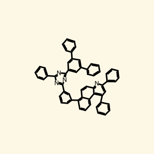 c1ccc(-c2cc(-c3ccccc3)cc(-c3nc(-c4ccccc4)nc(-c4cccc(-c5cccc6c5ccc5nc(-c7ccccc7)cc(-c7ccccc7)c56)c4)n3)c2)cc1